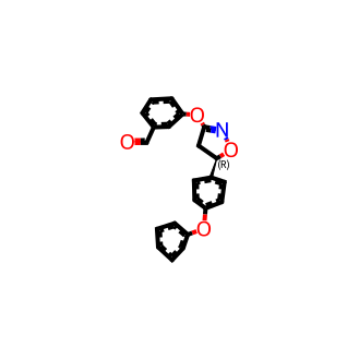 O=Cc1cccc(OC2=NO[C@@H](c3ccc(Oc4ccccc4)cc3)C2)c1